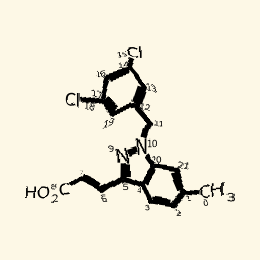 Cc1ccc2c(/C=C/C(=O)O)nn(Cc3cc(Cl)cc(Cl)c3)c2c1